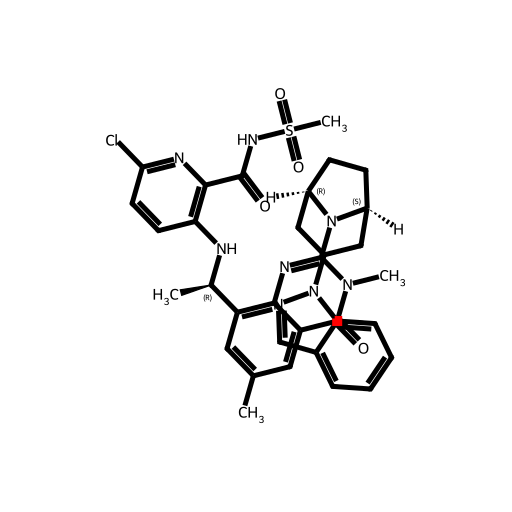 Cc1cc([C@@H](C)Nc2ccc(Cl)nc2C(=O)NS(C)(=O)=O)c2nc(N3[C@@H]4CC[C@H]3CC(n3ncc5ccccc53)C4)n(C)c(=O)c2c1